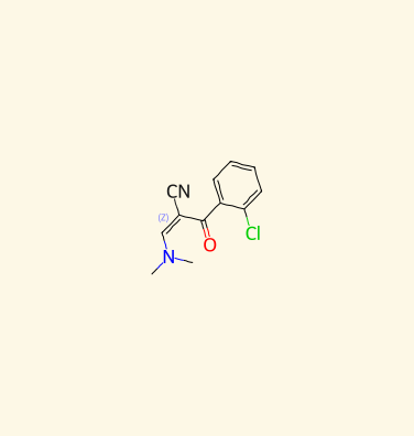 CN(C)/C=C(/C#N)C(=O)c1ccccc1Cl